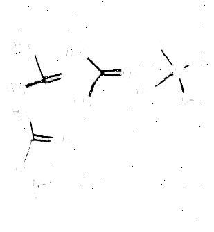 CC(=O)O.CC(=O)O.CC(=O)O.[Na+].[O-][Si](O)(O)O